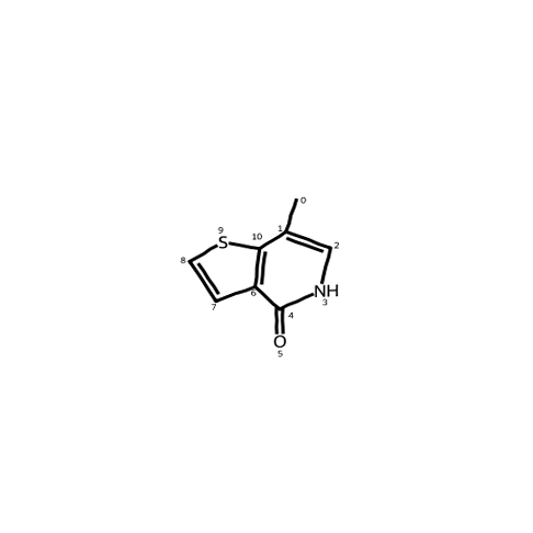 Cc1c[nH]c(=O)c2ccsc12